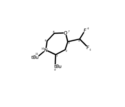 CC(C)(C)C1CC(C(F)F)OCCN1C(C)(C)C